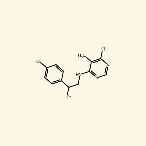 Cc1c(Cl)ncnc1NCC(c1ccc(Cl)cc1)C(C)C